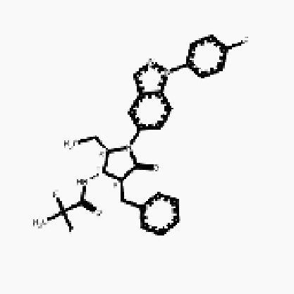 CC[C@@H]1[C@@H](NC(=O)C(C)(F)F)[C@H](Cc2ccccc2)C(=O)N1c1ccc2c(cnn2-c2ccc(F)cc2)c1